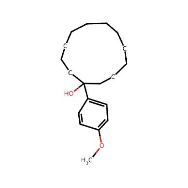 COc1ccc(C2(O)CCCCCCCCCCC2)cc1